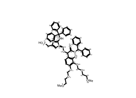 COCCOCOc1ccc(C(ON=S2C=C(CC(=O)O)N=C2NC(c2ccccc2)(c2ccccc2)c2ccccc2)C(=O)OC(c2ccccc2)c2ccccc2)c(Cl)c1OCOCCOC